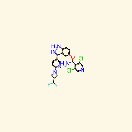 N=C(c1ccc(N2CC(C(F)F)C2)nc1)c1cc(O[C@H](N)c2c(Cl)cncc2Cl)ccc1N